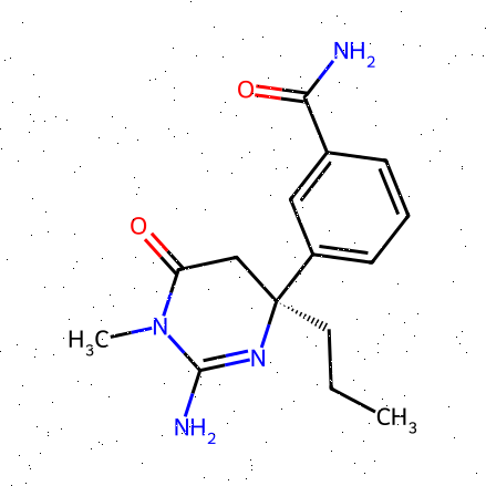 CCC[C@@]1(c2cccc(C(N)=O)c2)CC(=O)N(C)C(N)=N1